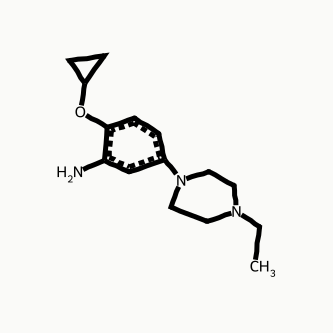 CCN1CCN(c2ccc(OC3CC3)c(N)c2)CC1